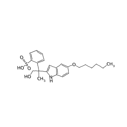 CCCCCCOc1ccc2[nH]c(C(C)(CO)c3ccccc3S(=O)(=O)O)cc2c1